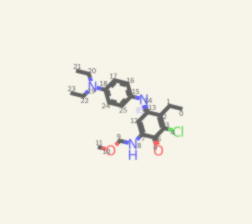 CCC1=C(Cl)C(=O)C(NCOC)=C/C1=N\c1ccc(N(CC)CC)cc1